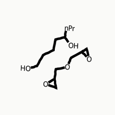 C(OCC1CO1)C1CO1.CCCC(O)CCCCO